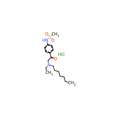 CCCCCCCN(CC)CC(=O)c1ccc(NS(C)(=O)=O)cc1.Cl